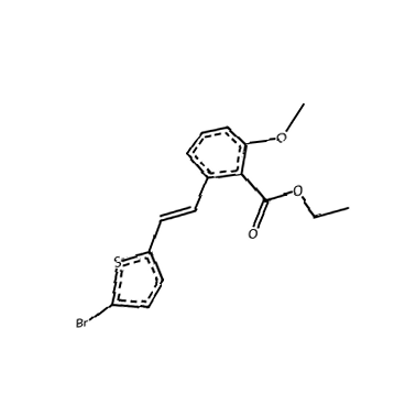 CCOC(=O)c1c(/C=C/c2ccc(Br)s2)cccc1OC